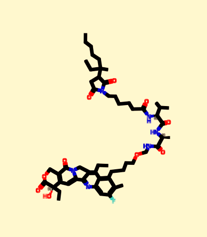 CCCCCC(C)(CC)C1CC(=O)N(CCCCCC(=O)N[C@H](C(=O)N[C@@H](C)C(=O)NCOCCCCc2c(C)c(F)cc3nc4c(c(CC)c23)Cn2c-4cc3c(c2=O)COC(=O)[C@]3(O)CC)C(C)C)C1=O